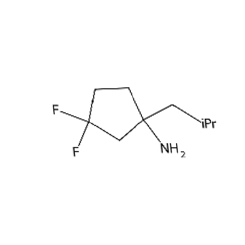 CC(C)CC1(N)CCC(F)(F)C1